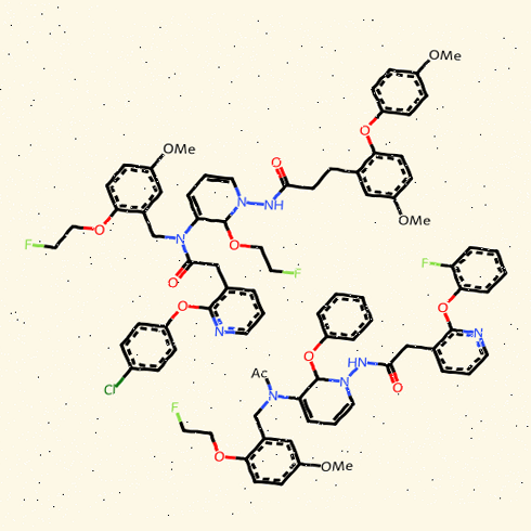 COc1ccc(OCCF)c(CN(C(C)=O)C2=CC=CN(NC(=O)Cc3cccnc3Oc3ccccc3F)C2Oc2ccccc2)c1.COc1ccc(Oc2ccc(OC)cc2CCC(=O)NN2C=CC=C(N(Cc3cc(OC)ccc3OCCF)C(=O)Cc3cccnc3Oc3ccc(Cl)cc3)C2OCCF)cc1